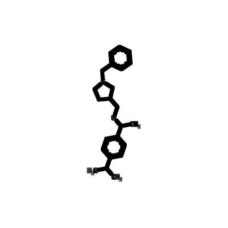 CC(C)c1ccc(C(C)OCC2CCN(Cc3ccccc3)C2)cc1